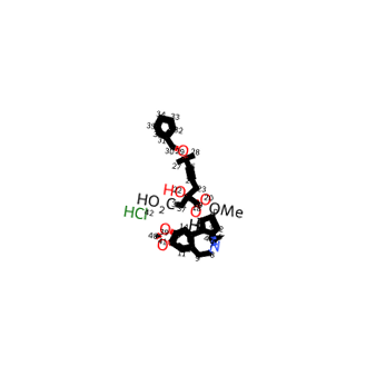 COC1=C[C@]23CCCN2CCc2cc4c(cc2[C@@H]3[C@@H]1OC(=O)[C@@](O)(CC#CC(C)(C)OCc1ccccc1)CC(=O)O)OCO4.Cl